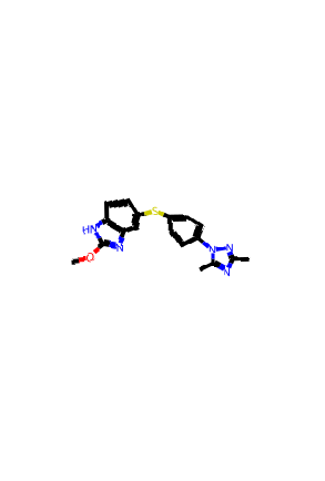 COc1nc2cc(Sc3ccc(-n4nc(C)nc4C)cc3)ccc2[nH]1